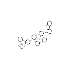 c1ccc2c(c1)-c1ccccc1[Si]21c2cc(-c3ccc4c(c3)c3ccccc3c3nccn43)ccc2-c2ccc(-c3cccc4c3oc3ccccc34)cc21